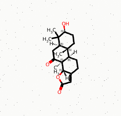 CC1(C)[C@@H](O)CC[C@]2(C)[C@H]3CCC4=CC(=O)O[C@@H]4[C@@]3(C)C(=O)C[C@@H]12